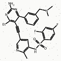 CCc1nc(N)nc(-c2cccc(CN(C)C)c2)c1C#Cc1cnc(C)c(NS(=O)(=O)c2ccc(F)cc2F)c1